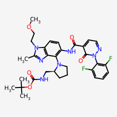 COCCn1c(C)nc2c(N3CCC[C@H]3CNC(=O)OC(C)(C)C)c(NC(=O)c3ccnn(-c4c(F)cccc4F)c3=O)ccc21